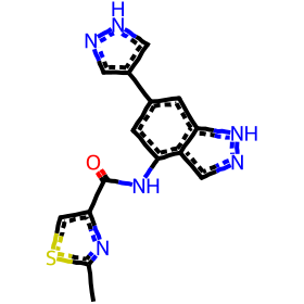 Cc1nc(C(=O)Nc2cc(-c3cn[nH]c3)cc3[nH]ncc23)cs1